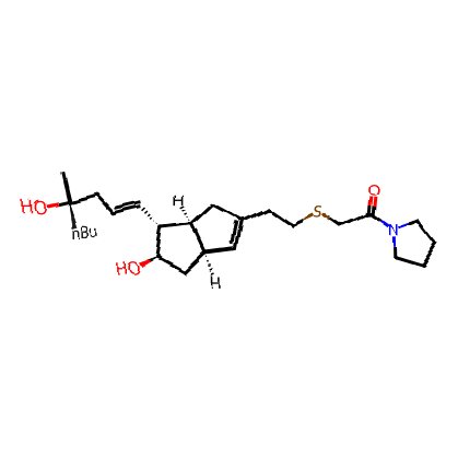 CCCC[C@](C)(O)C/C=C/[C@@H]1[C@H]2CC(CCSCC(=O)N3CCCC3)=C[C@H]2C[C@H]1O